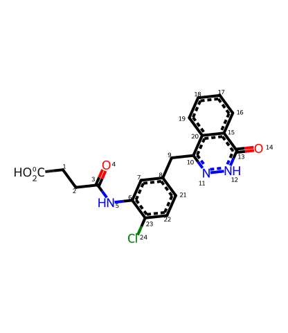 O=C(O)CCC(=O)Nc1cc(Cc2n[nH]c(=O)c3ccccc23)ccc1Cl